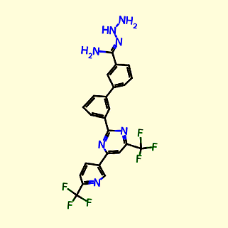 NN/N=C(\N)c1cccc(-c2cccc(-c3nc(-c4ccc(C(F)(F)F)nc4)cc(C(F)(F)F)n3)c2)c1